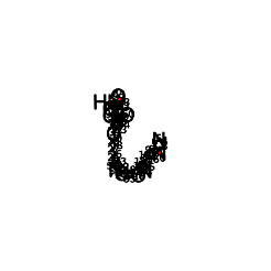 Cn1c2ccncc2c2ccc(-c3ccc(O[C@H]4C[C@@H](Oc5ccc(CCCCCCOc6ccc7c(c6)C(=O)N(C6CCC(=O)NC6=O)C7=O)cn5)C4)nc3)cc21